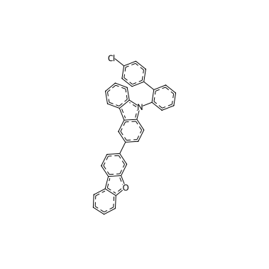 Clc1ccc(-c2ccccc2-n2c3ccccc3c3cc(-c4ccc5c(c4)oc4ccccc45)ccc32)cc1